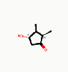 CC1[C@@H](O)CC(=O)[C@@H]1C